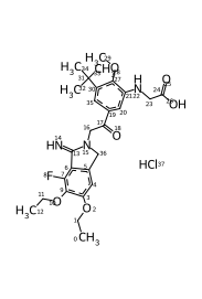 CCOc1cc2c(c(F)c1OCC)C(=N)N(CC(=O)c1cc(NCC(=O)O)c(OC)c(C(C)(C)C)c1)C2.Cl